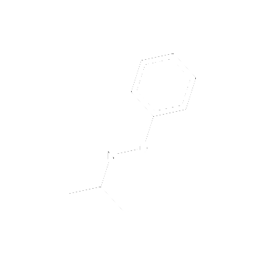 CC(C)[N]Oc1ccccc1